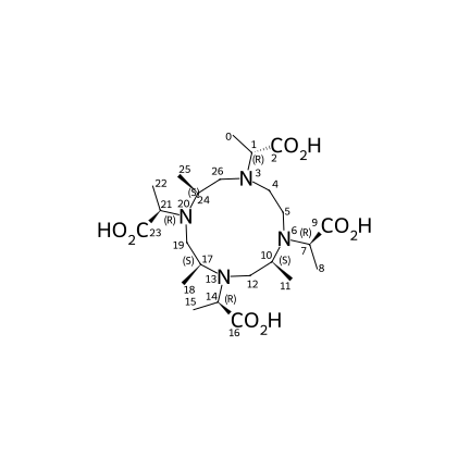 C[C@H](C(=O)O)N1CCN([C@H](C)C(=O)O)[C@@H](C)CN([C@H](C)C(=O)O)[C@@H](C)CN([C@H](C)C(=O)O)[C@@H](C)C1